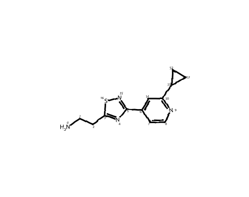 NCCc1nc(-c2ccnc(C3CC3)c2)ns1